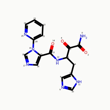 NC(=O)C(=O)C(Cc1cnc[nH]1)NC(=O)c1cncn1-c1ccccn1